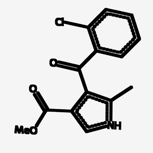 COC(=O)c1c[nH]c(C)c1C(=O)c1ccccc1Cl